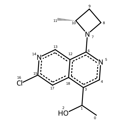 CC(O)c1cnc(N2CC[C@H]2C)c2cnc(Cl)cc12